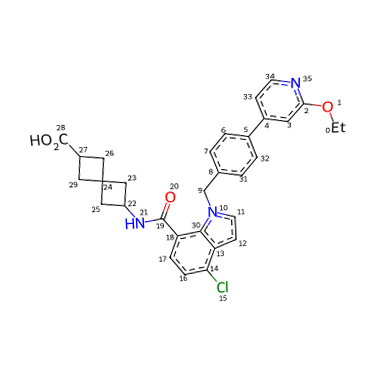 CCOc1cc(-c2ccc(Cn3ccc4c(Cl)ccc(C(=O)NC5CC6(C5)CC(C(=O)O)C6)c43)cc2)ccn1